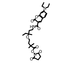 CCN(CC)c1ccc2cc(C(=O)NCCC(C)(CC)OCCC(C)(C)C(=O)ON3C(=O)CCC3=O)c(=O)oc2c1